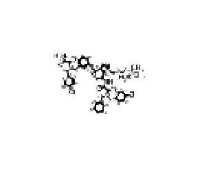 C[Si](C)(C)CCOCn1ncc2c(N)ncc(NC(=O)C(=O)N(Cc3ccccc3)Cc3ccc(Cl)cn3)c21.NC(=O)C(=O)N(Cc1ccccc1)Cc1ccc(Cl)cn1